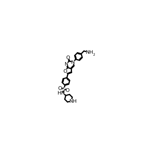 NCc1ccc(-n2cc3cc(-c4ccc(S(=O)(=O)NC5CCNCC5)cc4)oc3nc2=O)cc1